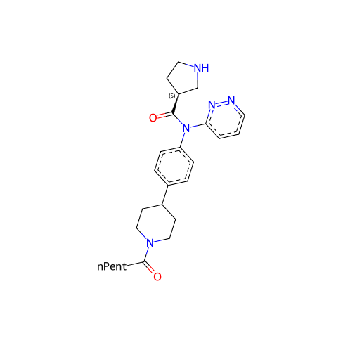 CCCCCC(=O)N1CCC(c2ccc(N(C(=O)[C@H]3CCNC3)c3cccnn3)cc2)CC1